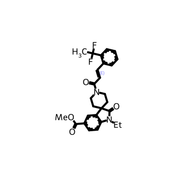 CCN1C(=O)C2(CCN(C(=O)/C=C/c3ccccc3C(C)(F)F)CC2)c2cc(C(=O)OC)ccc21